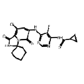 O=C1NC2(CCCCC2)n2c1c(Cl)cc(Nc1ncnc(NC(=O)C3CC3)c1F)c2=O